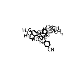 Cc1ccc(S(=O)(=O)C(O)(c2c(C)cc(C)c3[nH]ccc23)c2nc3cc(C#N)ccc3n2COCC[Si](C)(C)C)cc1